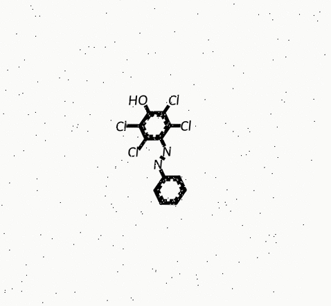 Oc1c(Cl)c(Cl)c(N=Nc2ccccc2)c(Cl)c1Cl